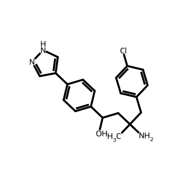 CC(N)(Cc1ccc(Cl)cc1)CC(O)c1ccc(-c2cn[nH]c2)cc1